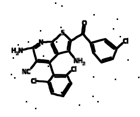 N#Cc1c(N)nc2sc(C(=O)c3cccc(Cl)c3)c(N)c2c1-c1c(Cl)cccc1Cl